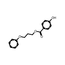 O=C(OCCCOc1ccccc1)c1ccc(O)cc1